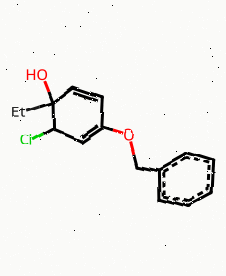 CCC1(O)C=CC(OCc2ccccc2)=CC1Cl